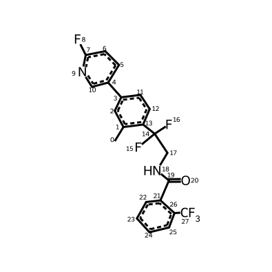 Cc1cc(-c2ccc(F)nc2)ccc1C(F)(F)CNC(=O)c1ccccc1C(F)(F)F